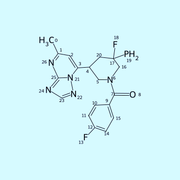 Cc1cc(C2CN(C(=O)c3ccc(F)cc3)CC(F)(P)C2)n2ncnc2n1